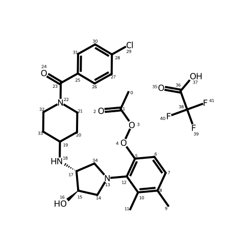 CC(=O)OOc1ccc(C)c(C)c1N1C[C@@H](O)[C@H](NC2CCN(C(=O)c3ccc(Cl)cc3)CC2)C1.O=C(O)C(F)(F)F